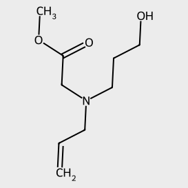 C=CCN(CCCO)CC(=O)OC